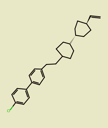 C=C[C@H]1CC[C@H](C2CCC(CCc3ccc(-c4ccc(Cl)cc4)cc3)CC2)CC1